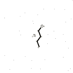 CCCC[O].[Ti]